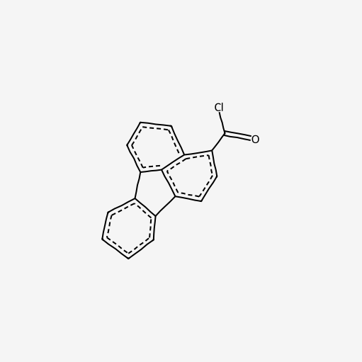 O=C(Cl)c1ccc2c3c(cccc13)-c1ccccc1-2